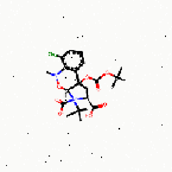 CN1O[C@@H]2[C@@](OC(=O)OC(C)(C)C)(C[C@@H](C(=O)O)[N+]2(C(=O)[O-])C(C)(C)C)c2cccc(Cl)c21